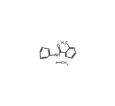 CI.Cc1ccccc1C(=O)Nc1ccccc1